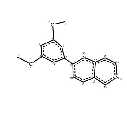 COc1cc(OC)cc(-c2ccc3cnccc3n2)c1